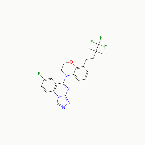 CC(C)(CCc1cccc2c1OCCN2c1nc2nncn2c2ccc(F)cc12)C(F)(F)F